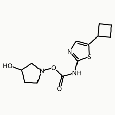 O=C(Nc1ncc(C2CCC2)s1)ON1CCC(O)C1